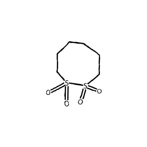 O=S1(=O)CCCCCCS1(=O)=O